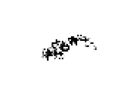 Cc1c(SNC(=O)c2ccc(-n3ccc(OCC(C)(C)C(F)(F)F)n3)nc2N2C[C@@H](C)CC2(C)C)cnn1C